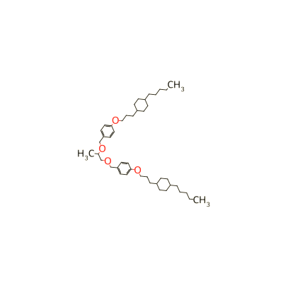 CCCCCC1CCC(CCCOc2ccc(COCC(C)OCc3ccc(OCCCC4CCC(CCCCC)CC4)cc3)cc2)CC1